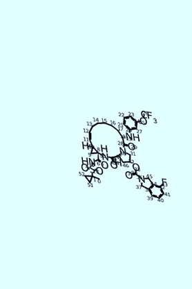 CC1(S(=O)(=O)NC(=O)[C@@]23C[C@@H]2/C=C\CCCCC[C@H](Nc2cccc(OC(F)(F)F)c2)C(=O)N2C[C@H](OC(=O)N4Cc5cccc(F)c5C4)C[C@H]2C(=O)N3)CC1